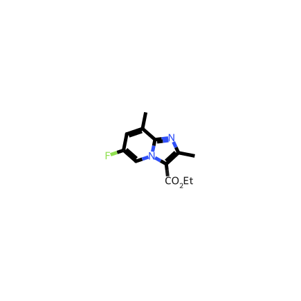 CCOC(=O)c1c(C)nc2c(C)cc(F)cn12